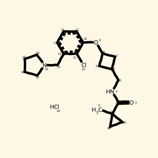 CC1(C(=O)NCC2CC(Oc3cccc(CN4CCCC4)c3Cl)C2)CC1.Cl